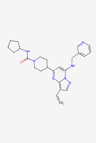 C=Cc1cnn2c(NCc3cccnc3)cc(C3CCN(C(=O)NC4CCCC4)CC3)nc12